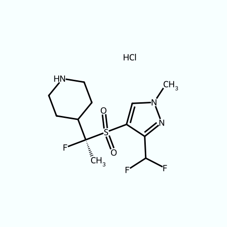 Cl.Cn1cc(S(=O)(=O)[C@@](C)(F)C2CCNCC2)c(C(F)F)n1